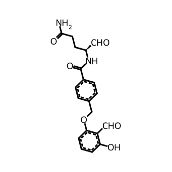 NC(=O)CC[C@@H](C=O)NC(=O)c1ccc(COc2cccc(O)c2C=O)cc1